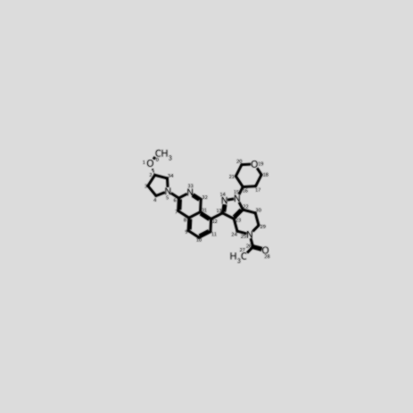 CO[C@H]1CCN(c2cc3cccc(-c4nn(C5CCOCC5)c5c4CN(C(C)=O)CC5)c3cn2)C1